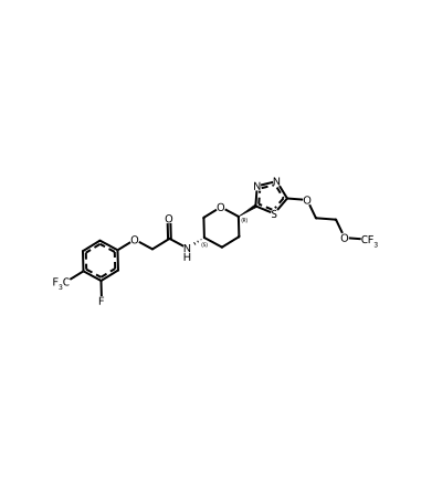 O=C(COc1ccc(C(F)(F)F)c(F)c1)N[C@H]1CC[C@H](c2nnc(OCCOC(F)(F)F)s2)OC1